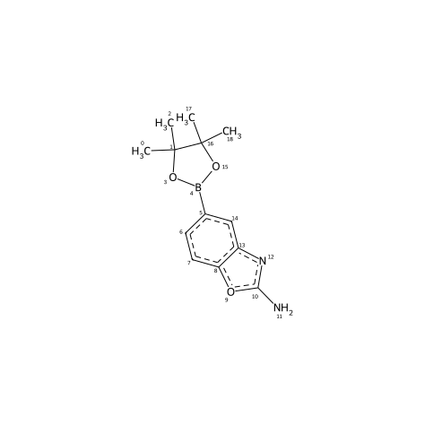 CC1(C)OB(c2ccc3oc(N)nc3c2)OC1(C)C